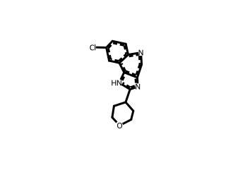 Clc1ccc2ncc3nc(C4CCOCC4)[nH]c3c2c1